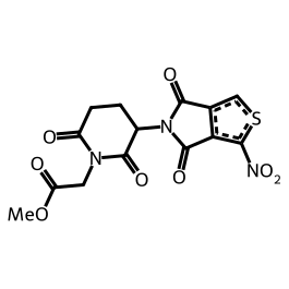 COC(=O)CN1C(=O)CCC(N2C(=O)c3csc([N+](=O)[O-])c3C2=O)C1=O